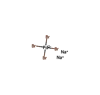 [Br][Pd-2]([Br])([Br])[Br].[Na+].[Na+]